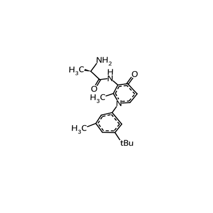 Cc1cc(-n2ccc(=O)c(NC(=O)[C@@H](C)N)c2C)cc(C(C)(C)C)c1